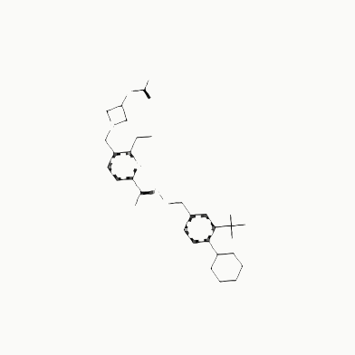 CCc1nc(C(C)=NOCc2ccc(C3CCCCC3)c(C(F)(F)F)c2)ccc1CN1CC(OC(=O)O)C1